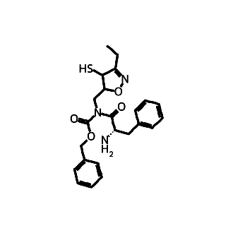 CCC1=NOC(CN(C(=O)OCc2ccccc2)C(=O)[C@@H](N)Cc2ccccc2)C1S